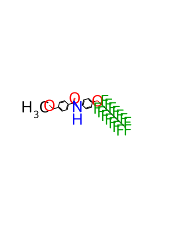 COCc1ccc(C(=O)Nc2ccc(OC(F)(F)C(F)(F)C(F)(F)C(F)(F)C(F)(F)C(F)(F)C(F)(F)F)cc2)cc1